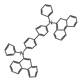 C1=CC2=c3ccccc3=C(N(c3ccccc3)c3ccc(-c4ccc(N(c5ccccc5)c5cc6ccccc6c6ccccc56)cc4)cc3)CC2C=C1